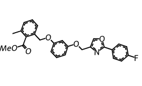 COC(=O)c1c(C)cccc1COc1cccc(OCc2coc(-c3ccc(F)cc3)n2)c1